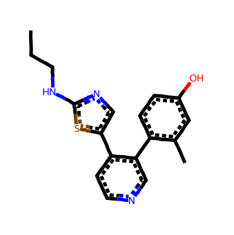 CCCNc1ncc(-c2ccncc2-c2ccc(O)cc2C)s1